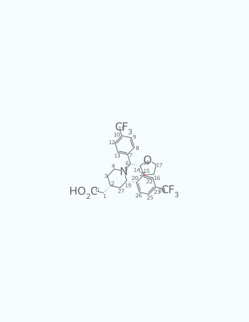 O=C(O)C[C@@H]1CCN(C(c2ccc(C(F)(F)F)cc2)[C@H]2CCCO2)[C@H](c2ccc(C(F)(F)F)cc2)C1